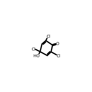 O=C1C(Cl)=CC(O)(Cl)C=C1Cl